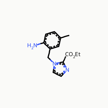 CCOC(=O)c1nccn1Cc1cc(C)ccc1N